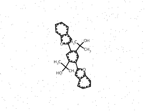 CC(C)(O)c1cc(-c2cc3ccccc3o2)c(C(C)(C)O)cc1-c1cc2ccccc2o1